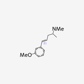 CNC(C)C/C=C/c1cccc(OC)c1